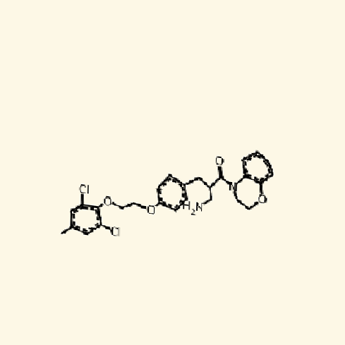 Cc1cc(Cl)c(OCCOc2ccc(CC(CN)C(=O)N3CCOc4ccccc43)cc2)c(Cl)c1